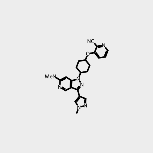 CNc1cc2c(cn1)c(-c1cnn(C)c1)nn2C1CCC(Oc2cccnc2C#N)CC1